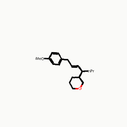 CCC[C](C=CCc1ccc(OC)cc1)C1CCCOC1